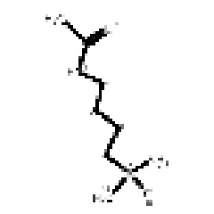 CC(=O)NCCCCS(C)(C)Cl